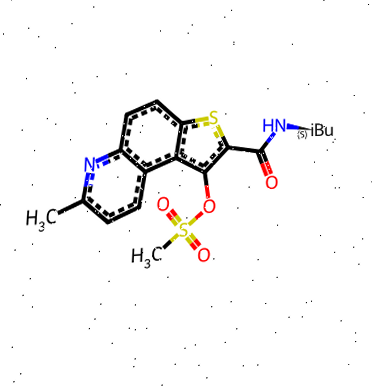 CC[C@H](C)NC(=O)c1sc2ccc3nc(C)ccc3c2c1OS(C)(=O)=O